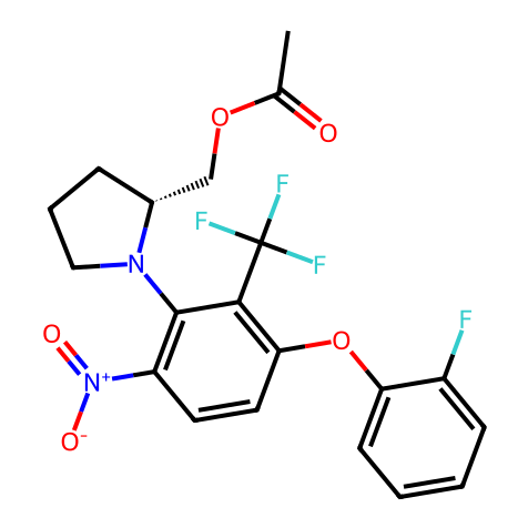 CC(=O)OC[C@H]1CCCN1c1c([N+](=O)[O-])ccc(Oc2ccccc2F)c1C(F)(F)F